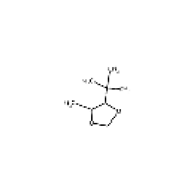 CC1OCOC1C(C)(C)C